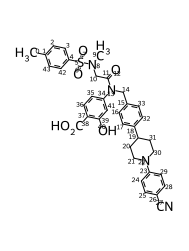 Cc1ccc(S(=O)(=O)N(C)CC(=O)N(Cc2ccc(C3CCN(c4ccc(C#N)cc4)CC3)cc2)c2ccc(C(=O)O)c(O)c2)cc1